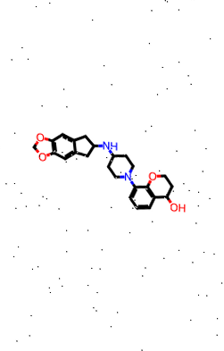 OC1CCOc2c1cccc2N1CCC(NC2Cc3cc4c(cc3C2)OCO4)CC1